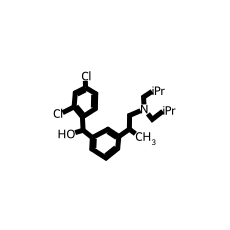 CC(C)CN(CC(C)C)CC(C)c1cccc(C(O)c2ccc(Cl)cc2Cl)c1